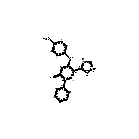 COc1ccc(Oc2cc(=O)n(-c3ccccc3)nc2-c2nc[nH]n2)cc1